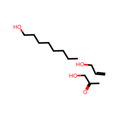 C=CCO.CC(=O)CO.CCCCCCCCO